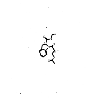 CCOC(=O)[C@@H]1Cc2ccccc2N1C(=O)[C@H](C)CSC(C)=O